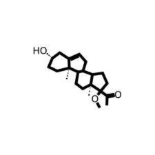 COC1(C(C)=O)CCC2C3CC=C4C[C@@H](O)CC[C@]4(C)C3CC[C@@]21C